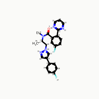 CCN(C(=O)c1cc(F)ccc1-c1ncccn1)[C@@H](C)Cn1cc(-c2ccc(F)cc2)cn1